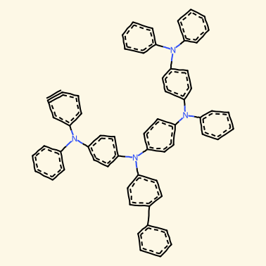 c1ccc(N(c2ccccc2)c2ccc(N(c3ccc(-c4ccccc4)cc3)c3ccc(N(c4ccccc4)c4ccc(N(c5ccccc5)c5ccccc5)cc4)cc3)cc2)cc#1